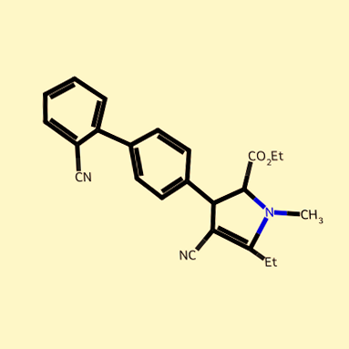 CCOC(=O)C1C(c2ccc(-c3ccccc3C#N)cc2)C(C#N)=C(CC)N1C